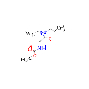 CCCN(CC)C(=O)CNC(=O)OC